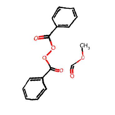 COC=O.O=C(OOC(=O)c1ccccc1)c1ccccc1